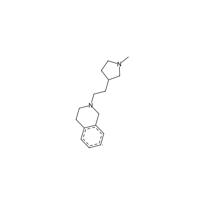 CN1CCC(CCN2CCc3cc[c]cc3C2)C1